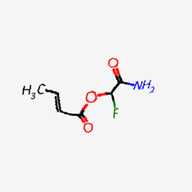 C/C=C/C(=O)OC(F)C(N)=O